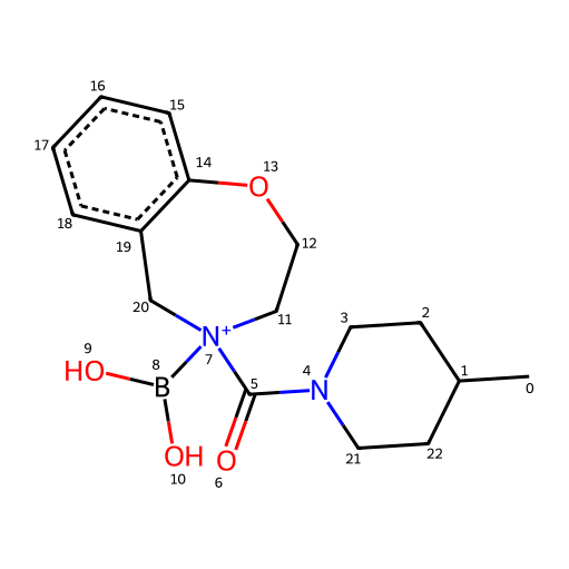 CC1CCN(C(=O)[N+]2(B(O)O)CCOc3ccccc3C2)CC1